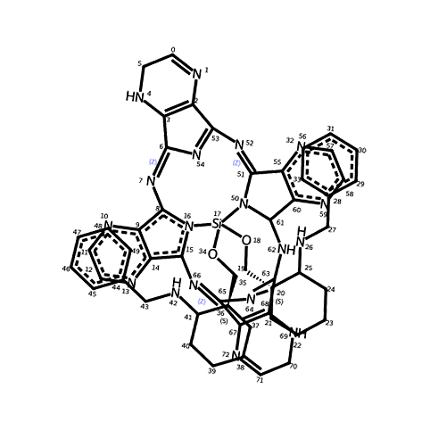 C1=NC2=C(NC1)/C1=N/c3c4nccnc4c4n3[Si](OC[C@H]3CCCCC3NCc3ccccc3)(OC[C@H]3CCCCC3NCc3ccccc3)N3/C(=N\C2=N1)c1nccnc1C3NC1=N/C(=N\4)C2=C1NCC=N2